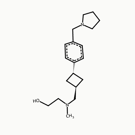 CN(CCO)C[C@H]1C[C@H](c2ccc(CN3CCCC3)cc2)C1